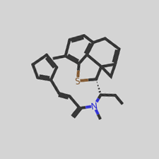 C=C(/C=C/C1=CCC=C1)N(C)C(CC)[C@@H]1Sc2c(C)ccc3c2C12CC2=CC3